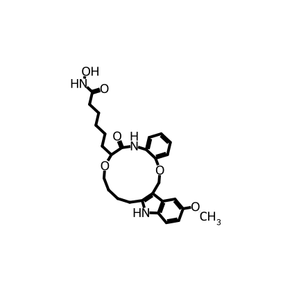 COc1ccc2[nH]c3c(c2c1)COc1ccccc1NC(=O)C(CCCCCC(=O)NO)OCCCC3